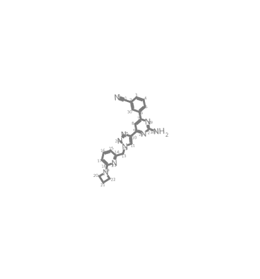 N#Cc1cccc(-c2cc(-c3cn(Cc4cccc(N5CCC5)n4)nn3)nc(N)n2)c1